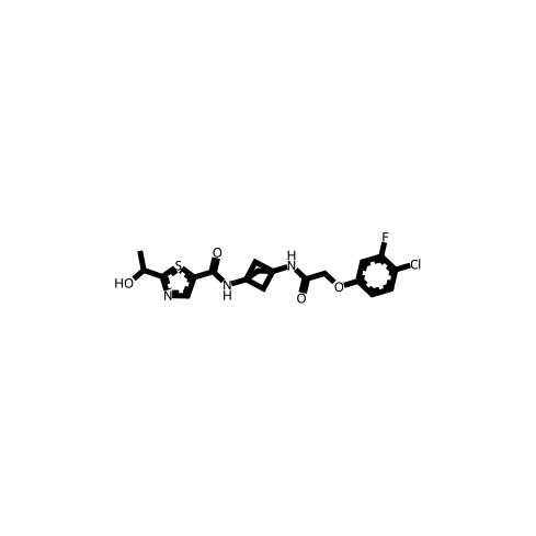 CC(O)c1ncc(C(=O)NC23CC(NC(=O)COc4ccc(Cl)c(F)c4)(C2)C3)s1